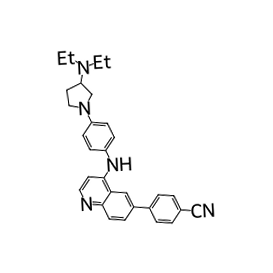 CCN(CC)C1CCN(c2ccc(Nc3ccnc4ccc(-c5ccc(C#N)cc5)cc34)cc2)C1